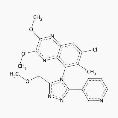 COCc1nnc(-c2cccnc2)n1-c1c(C)c(Cl)cc2nc(OC)c(OC)nc12